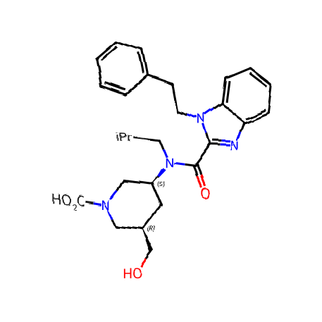 CC(C)CN(C(=O)c1nc2ccccc2n1CCc1ccccc1)[C@H]1C[C@@H](CO)CN(C(=O)O)C1